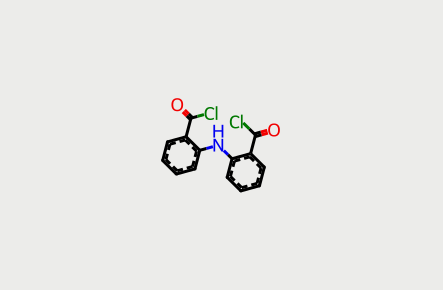 O=C(Cl)c1ccccc1Nc1ccccc1C(=O)Cl